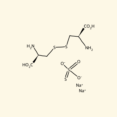 N[C@@H](CSSC[C@H](N)C(=O)O)C(=O)O.O=S([O-])([O-])=S.[Na+].[Na+]